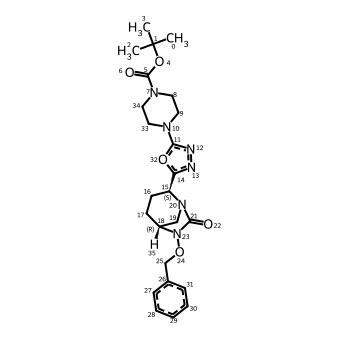 CC(C)(C)OC(=O)N1CCN(c2nnc([C@@H]3CC[C@@H]4CN3C(=O)N4OCc3ccccc3)o2)CC1